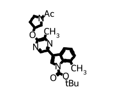 CC(=O)N1CCC(Oc2ncc(-c3cn(C(=O)OC(C)(C)C)c4c(C)cccc34)nc2C)C1